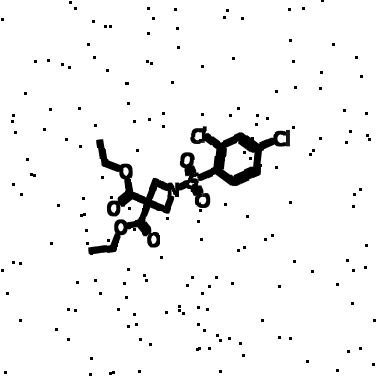 CCOC(=O)C1(C(=O)OCC)CN(S(=O)(=O)c2ccc(Cl)cc2Cl)C1